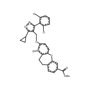 COC(=O)c1ccc2c(c1)Oc1ccc(OCc3c(-c4c(Cl)cccc4Cl)noc3C3CC3)[n+]([O-])c1CC2